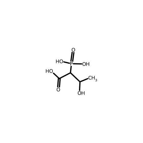 CC(O)C(C(=O)O)P(=O)(O)O